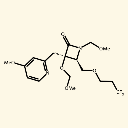 COCO[C@@]1(Cc2cc(OC)ccn2)C(=O)N(COC)[C@H]1COCCC(F)(F)F